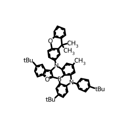 Cc1cc2c3c(c1)N(c1ccc4c(c1)C(C)(C)c1ccccc1O4)c1c(oc4ccc(C(C)(C)C)cc14)B3c1cc(C(C)(C)C)ccc1N2c1ccc(C(C)(C)C)cc1